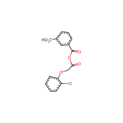 O=C(COc1ccccc1Cl)OC(=O)c1cccc(C(=O)O)c1